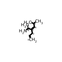 C=CCC(=CC(C)C)[C@H](C)N